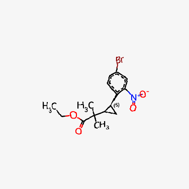 CCOC(=O)C(C)(C)C1C[C@@H]1c1ccc(Br)cc1[N+](=O)[O-]